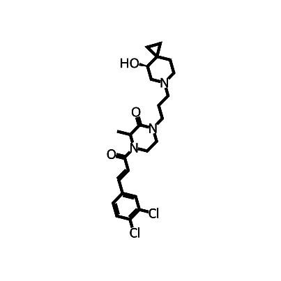 CC1C(=O)N(CCCN2CCC3(CC3)[C@H](O)C2)CCN1C(=O)C=Cc1ccc(Cl)c(Cl)c1